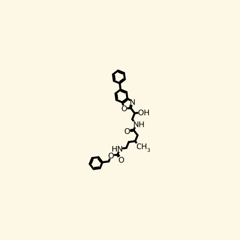 CC(CCNC(=O)OCc1ccccc1)CC(=O)NCC(O)c1nc2cc(-c3ccccc3)ccc2o1